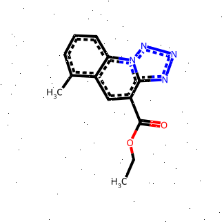 CCOC(=O)c1cc2c(C)cccc2n2nnnc12